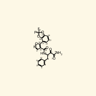 NC(=O)C(=O)C(Cc1ccccc1)NC(=O)c1cnoc1-c1cccc2c1OC(F)(F)O2